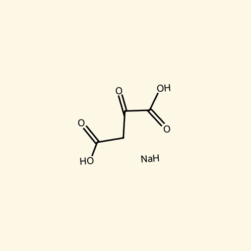 O=C(O)CC(=O)C(=O)O.[NaH]